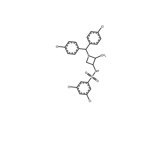 CC1C(NS(=O)(=O)c2cc(Cl)cc(Cl)c2)CN1C(c1ccc(Cl)cc1)c1ccc(Cl)cc1